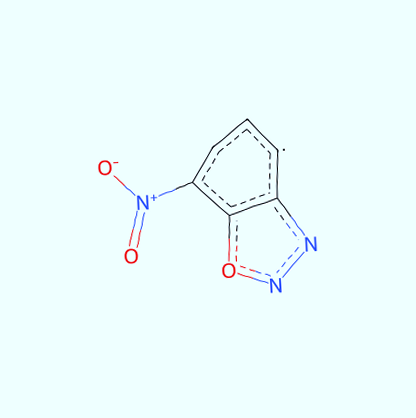 O=[N+]([O-])c1cc[c]c2nnoc12